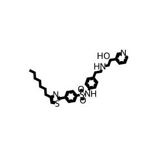 CCCCCCCc1csc(-c2ccc(S(=O)(=O)Nc3ccc(CCNCC(O)c4cccnc4)cc3)cc2)n1